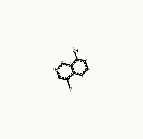 Oc1cccc2c(Cl)cncc12